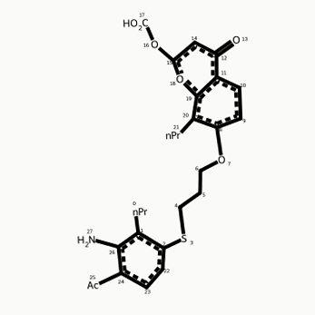 CCCc1c(SCCCOc2ccc3c(=O)cc(OC(=O)O)oc3c2CCC)ccc(C(C)=O)c1N